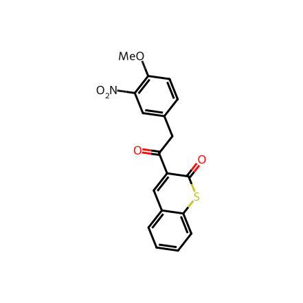 COc1ccc(CC(=O)c2cc3ccccc3sc2=O)cc1[N+](=O)[O-]